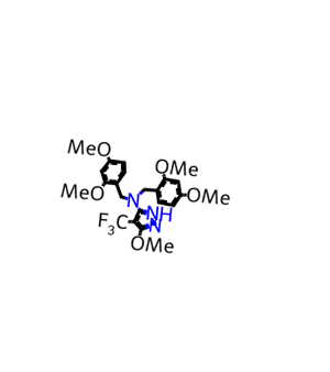 COc1ccc(CN(Cc2ccc(OC)cc2OC)c2[nH]nc(OC)c2C(F)(F)F)c(OC)c1